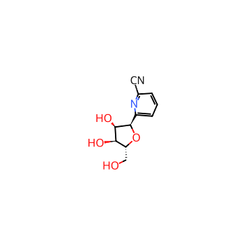 N#Cc1cccc([C@H]2O[C@H](CO)[C@@H](O)[C@H]2O)n1